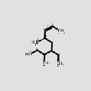 B[C@@H](/C=C\C)CC(CC)C(C)CO